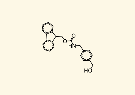 O=C(NCc1ccc(CO)cc1)OCC1c2ccccc2-c2ccccc21